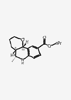 CCCOC(=O)c1ccc2c(c1)[C@H]1OCCC[C@H]1[C@@H](C)N2